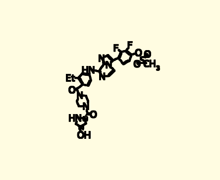 CCc1cc(Nc2nccn3c(-c4ccc(OS(C)(=O)=O)c(F)c4F)cnc23)ccc1C(=O)N1CCN(C(=O)[C@@H]2C[C@@H](O)CN2)CC1